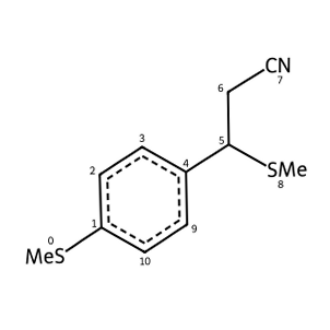 CSc1ccc(C(CC#N)SC)cc1